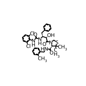 Cc1ccccc1CNC(=O)[C@H]1N(C(=O)[C@@H](O)[C@H](Cc2ccccc2)NC(=O)Nc2c(Cl)cccc2Cl)CSC1(C)C